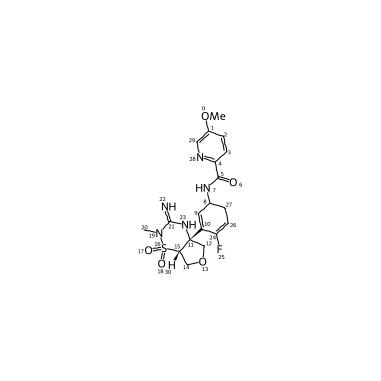 COc1ccc(C(=O)NC2C=C([C@@]34COC[C@@H]3S(=O)(=O)N(C)C(=N)N4)C(F)=CC2)nc1